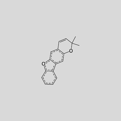 CC1(C)C=Cc2cc3oc4ccccc4c3cc2O1